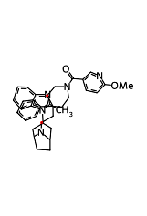 COc1ccc(C(=O)N2CCC(CCN3C4CCC3CC(n3c(C)nc5ccccc53)C4)(c3ccccc3)CC2)cn1